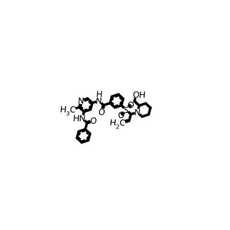 C=CC(N1CCCCC1CO)S(=O)(=O)c1cccc(C(=O)Nc2cnc(C)c(NC(=O)c3ccccc3)c2)c1